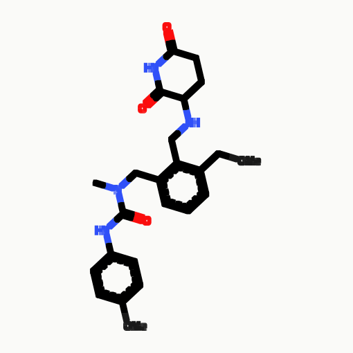 COCc1cccc(CN(C)C(=O)Nc2ccc(OC)cc2)c1CNC1CCC(=O)NC1=O